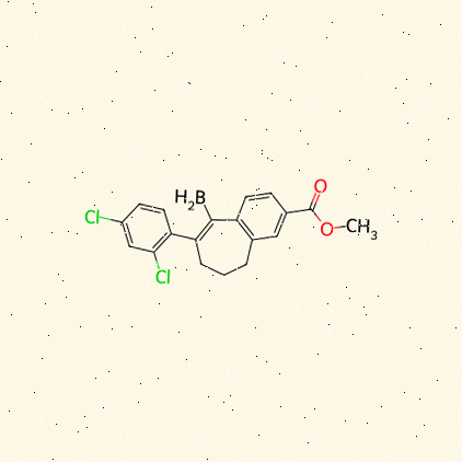 BC1=C(c2ccc(Cl)cc2Cl)CCCc2cc(C(=O)OC)ccc21